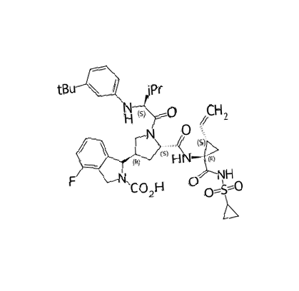 C=C[C@@H]1C[C@]1(NC(=O)[C@@H]1C[C@@H](C2c3cccc(F)c3CN2C(=O)O)CN1C(=O)[C@@H](Nc1cccc(C(C)(C)C)c1)C(C)C)C(=O)NS(=O)(=O)C1CC1